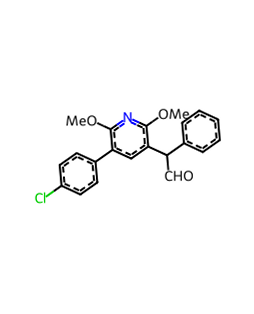 COc1nc(OC)c(C(C=O)c2ccccc2)cc1-c1ccc(Cl)cc1